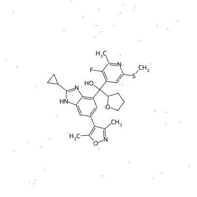 CSc1cc(C(O)(c2cc(-c3c(C)noc3C)cc3[nH]c(C4CC4)nc23)C2CCCO2)c(F)c(C)n1